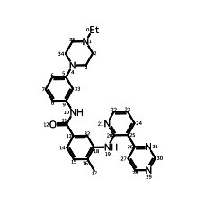 CCN1CCN(c2cccc(NC(=O)c3ccc(C)c(Nc4ncccc4-c4ccncn4)c3)c2)CC1